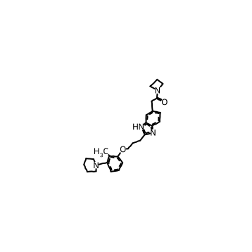 Cc1c(OCCCc2nc3ccc(CC(=O)N4CCC4)cc3[nH]2)cccc1N1CCCCC1